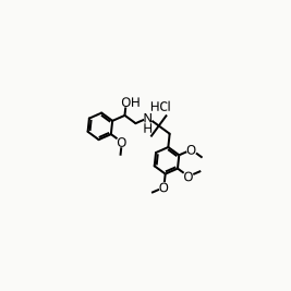 COc1ccccc1C(O)CNC(C)(C)Cc1ccc(OC)c(OC)c1OC.Cl